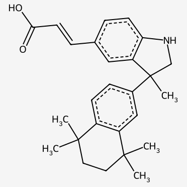 CC1(C)CCC(C)(C)c2cc(C3(C)CNc4ccc(C=CC(=O)O)cc43)ccc21